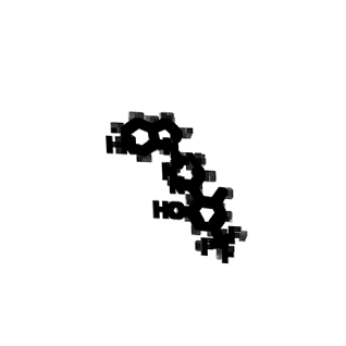 Cc1cc(C(F)(F)F)cc(O)c1-c1cnc(N2CCC3CCNCC32)nn1